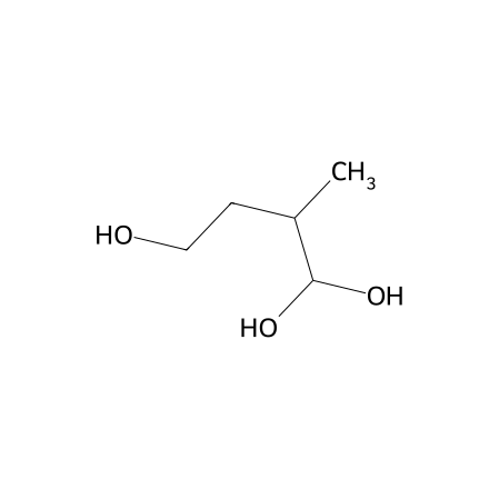 CC(CCO)C(O)O